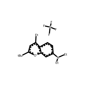 CCc1cc(C(C)(C)C)[o+]c2cc(N(CC)CC)ccc12.F[B-](F)(F)F